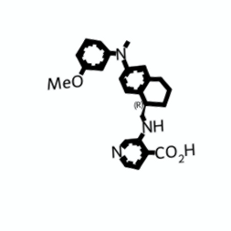 COc1cccc(N(C)c2ccc3c(c2)CCC[C@H]3CNc2cnccc2C(=O)O)c1